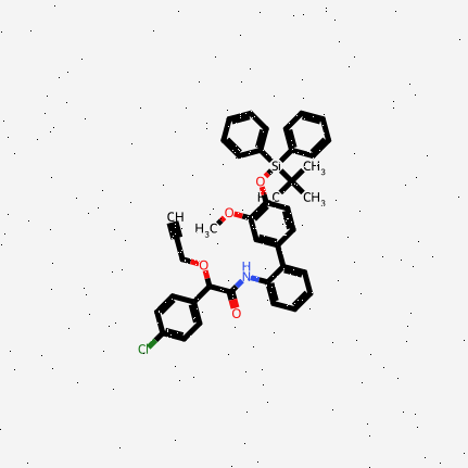 C#CCOC(C(=O)Nc1ccccc1-c1ccc(O[Si](c2ccccc2)(c2ccccc2)C(C)(C)C)c(OC)c1)c1ccc(Cl)cc1